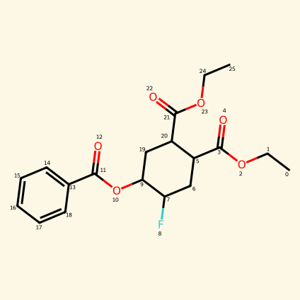 CCOC(=O)C1CC(F)C(OC(=O)c2ccccc2)CC1C(=O)OCC